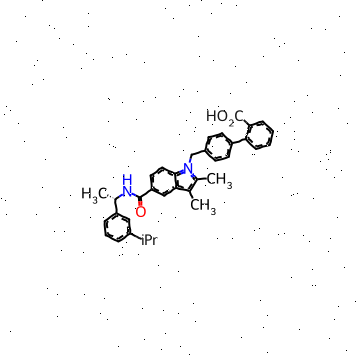 Cc1c(C)n(Cc2ccc(-c3ccccc3C(=O)O)cc2)c2ccc(C(=O)N[C@@H](C)c3cccc(C(C)C)c3)cc12